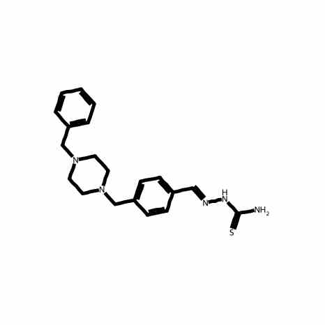 NC(=S)NN=Cc1ccc(CN2CCN(Cc3ccccc3)CC2)cc1